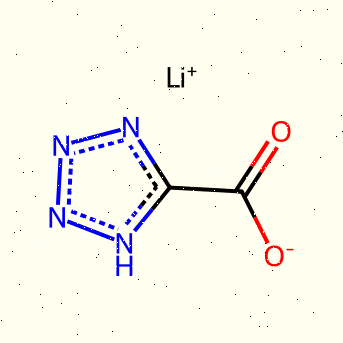 O=C([O-])c1nnn[nH]1.[Li+]